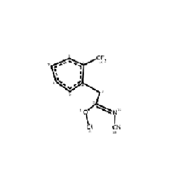 CCOC(Cc1ccccc1C(F)(F)F)=NC#N